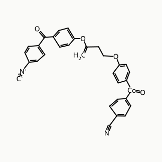 [C-]#[N+]c1ccc(C(=O)c2ccc(OC(=C)CCOc3cc[c]([Co](=[O])[c]4ccc(C#N)cc4)cc3)cc2)cc1